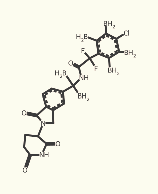 Bc1c(B)c(C(F)(F)C(=O)NC(B)(B)c2ccc3c(c2)CN(C2CCC(=O)NC2=O)C3=O)c(B)c(B)c1Cl